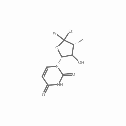 CCC1(CC)O[C@@H](n2ccc(=O)[nH]c2=O)C(O)[C@H]1C